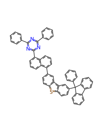 c1ccc(-c2nc(-c3ccccc3)nc(-c3cccc4c(-c5ccc6sc7ccc(C8(c9ccccc9)c9ccccc9-c9ccccc98)cc7c6c5)cccc34)n2)cc1